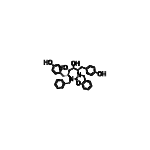 O=C1N(Cc2ccccc2)[C@H](Cc2ccc(O)cc2)[C@H](O)[C@@H](O)[C@@H](Cc2ccc(O)cc2)N1Cc1ccccc1